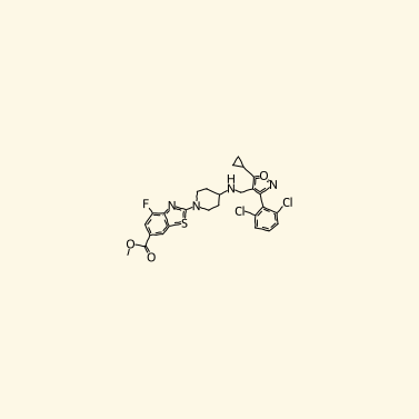 COC(=O)c1cc(F)c2nc(N3CCC(NCc4c(-c5c(Cl)cccc5Cl)noc4C4CC4)CC3)sc2c1